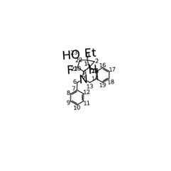 CC[C@@]12C[C@@H]1[C@@H](N(Cc1ccccc1)Cc1ccccc1)[C@H](F)[C@@H]2O